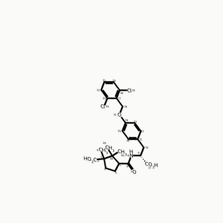 CC1(C(=O)O)CCC(C(=O)N[C@H](Cc2ccc(OCc3c(Cl)cccc3Cl)cc2)C(=O)O)C1(C)C